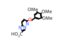 COc1cc(COc2ccc3nc(C(=O)O)cn3n2)cc(OC)c1OC